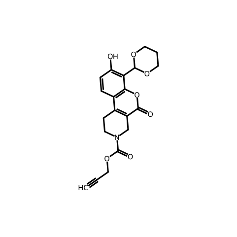 C#CCOC(=O)N1CCc2c(c(=O)oc3c(C4OCCCO4)c(O)ccc23)C1